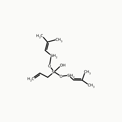 C=CC[Si](O)(O[SiH2]C=C(C)C)O[SiH2]C=C(C)C